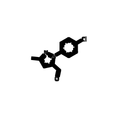 Cc1cc(C=O)n(-c2ccc(Cl)cc2)n1